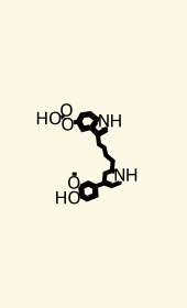 COc1cc(C2=CCNC(CCCCc3c[nH]c4ccc(OC(=O)O)cc34)C2)ccc1O